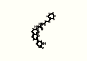 N=C/C(=C\N)c1cnc2ccc(NC(=O)NCCCN3CCCCC3)nc2c1